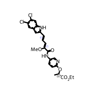 CCOC(=O)[C@H](C)Oc1ccc(NC(=O)/C(=C/C=C/c2cc3cc(Cl)c(Cl)cc3[nH]2)OC)cn1